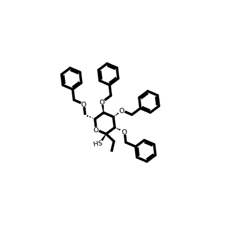 CC[C@]1(S)O[C@H](COCc2ccccc2)[C@@H](OCc2ccccc2)[C@H](OCc2ccccc2)[C@@H]1OCc1ccccc1